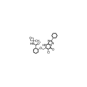 CC1(NC(=O)c2ccccc2OCc2[nH]c3nc(-c4ccccc4)nn3c(=O)c2Cl)COC1